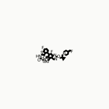 CC(C)(C)OC(=O)Nc1sc2c(F)ccc(-c3c4c(c5cnc(OCC6(CN7CCC(=CF)CC7)CC6)nc5c3F)COC4)c2c1C#N